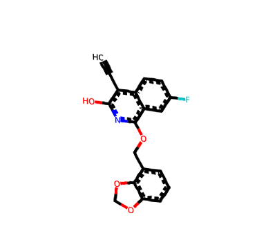 C#Cc1c(O)nc(OCc2cccc3c2OCO3)c2cc(F)ccc12